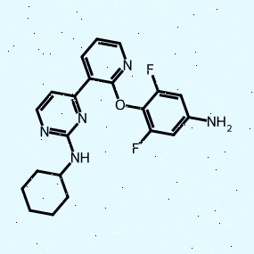 Nc1cc(F)c(Oc2ncccc2-c2ccnc(NC3CCCCC3)n2)c(F)c1